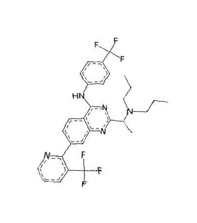 CCCN(CCC)C(C)c1nc(Nc2ccc(C(F)(F)F)cc2)c2ccc(-c3ncccc3C(F)(F)F)cc2n1